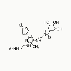 CC(=O)NCCNc1nc(-c2ccc(Cl)cc2)nc(NCCNC(=O)C2=C[C@H](O)[C@H](O)[C@@H](O)C2)c1C